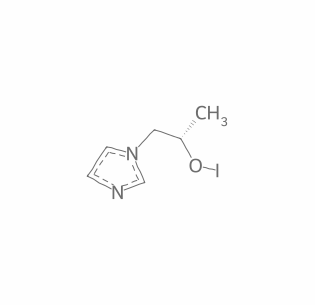 C[C@@H](Cn1ccnc1)OI